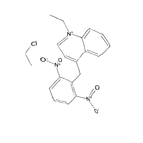 CCCl.CC[n+]1ccc(Cc2c([N+](=O)[O-])cccc2[N+](=O)[O-])c2ccccc21